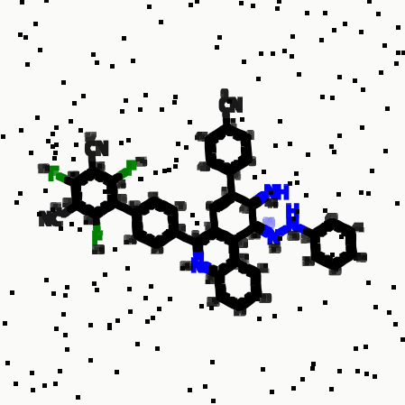 N#Cc1ccc(C2=Cc3c(-c4ccc(-c5c(F)c(C#N)c(F)c(C#N)c5F)cc4)nc4ccccc4c3/C(=N/Nc3ccccc3)C2=N)cc1